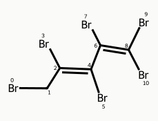 BrCC(Br)=C(Br)C(Br)=C(Br)Br